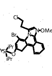 CON1C=C(CCCl)N2C3=C(Br)C=C(O[Si](C(C)C)(C(C)C)C(C)C)CC3=c3ccccc3=C12